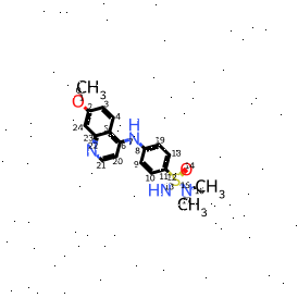 COc1ccc2c(Nc3ccc(S(=N)(=O)N(C)C)cc3)ccnc2c1